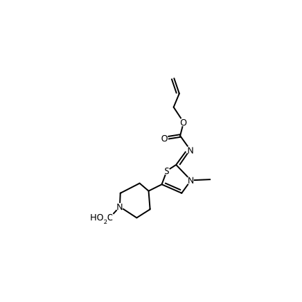 C=CCOC(=O)/N=c1\sc(C2CCN(C(=O)O)CC2)cn1C